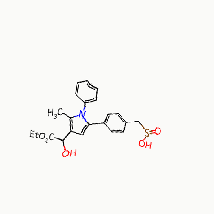 CCOC(=O)C(O)c1cc(-c2ccc(CS(=O)O)cc2)n(-c2ccccc2)c1C